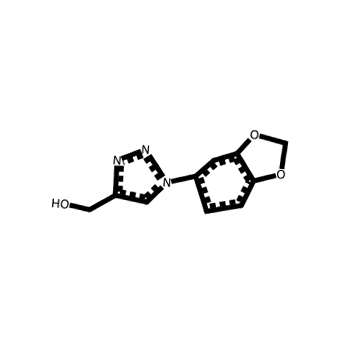 OCc1cn(-c2ccc3c(c2)OCO3)nn1